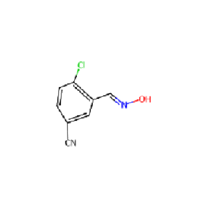 N#Cc1ccc(Cl)c(C=NO)c1